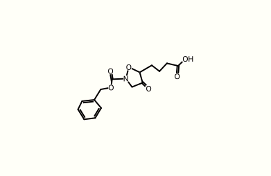 O=C(O)CCCC1ON(C(=O)OCc2ccccc2)CC1=O